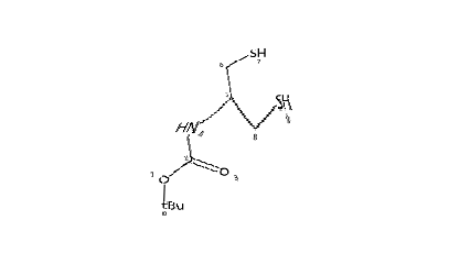 CC(C)(C)OC(=O)NC(CS)CS